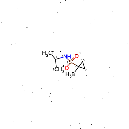 BC1(S(=O)(=O)NC(C)C)CC1